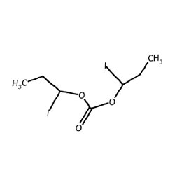 CCC(I)OC(=O)OC(I)CC